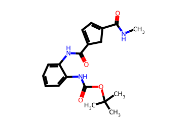 CNC(=O)C1=CC=C(C(=O)Nc2ccccc2NC(=O)OC(C)(C)C)C1